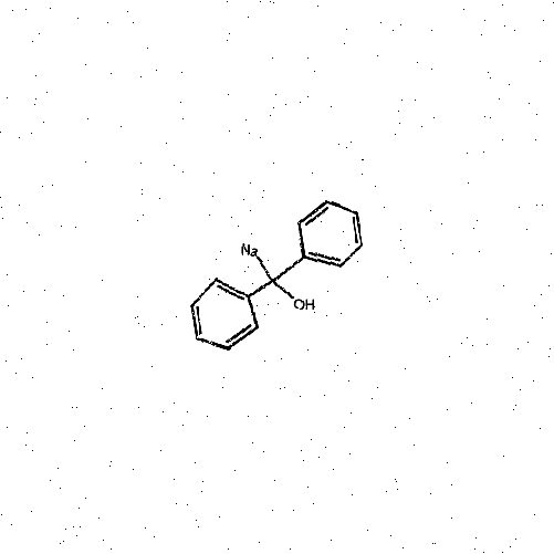 O[C]([Na])(c1ccccc1)c1ccccc1